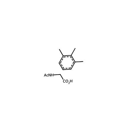 CC(=O)NCC(=O)O.Cc1cccc(C)c1C